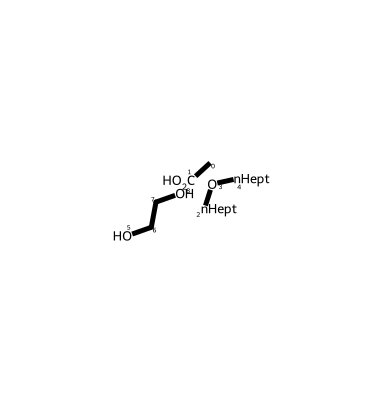 CC(=O)O.CCCCCCCOCCCCCCC.OCCO